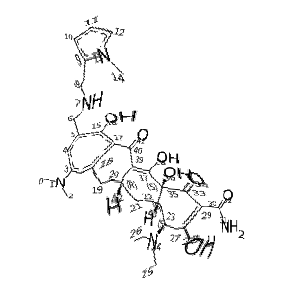 CN(C)c1cc(CNCc2cccn2C)c(O)c2c1C[C@H]1C[C@H]3[C@H](N(C)C)C(O)=C(C(N)=O)C(=O)[C@@]3(O)C(O)=C1C2=O